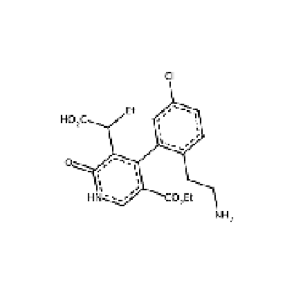 CCOC(=O)c1c[nH]c(=O)c(C(CC)C(=O)O)c1-c1cc(Cl)ccc1CCN